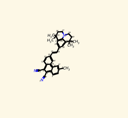 Cc1ccc2c(C#N)c(C#N)c3ccc(C=Cc4cc5c6c(c4)C(C)(C)CCN6CCC5(C)C)cc3c2c1